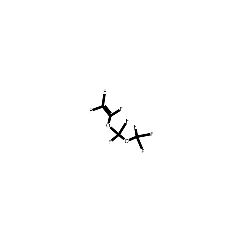 FC(F)=C(F)OC(F)(F)OC(F)(F)F